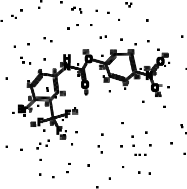 O=C(Nc1ccc(Br)c(C(F)(F)F)c1)Oc1ccc([N+](=O)[O-])cc1